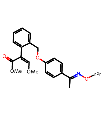 CCCON=C(C)c1ccc(OCc2ccccc2C(=COC)C(=O)OC)cc1